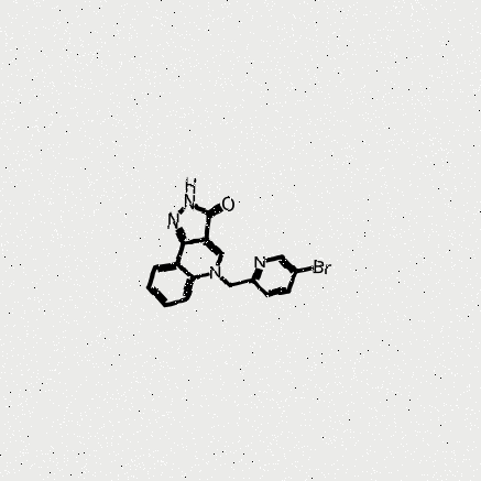 O=c1[nH]nc2c3ccccc3n(Cc3ccc(Br)cn3)cc1-2